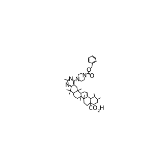 Cc1nc(N2CCN(C(=O)OCc3ccccc3)CC2)c2c(n1)C(C)(C)C1CCC3(C)C(CC=C4C5C(C)C(C)CCC5(C(=O)O)CCC43C)C1(C)C2